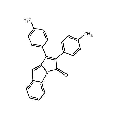 Cc1ccc(C2=C(c3ccc(C)cc3)c3cc4ccccc4n3C2=O)cc1